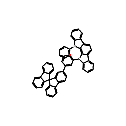 c1ccc(-n2c3ccccc3c3ccc4c5ccccc5n(-c5cccc(-c6ccc7c(c6)C6(c8ccccc8-c8ccccc86)c6ccccc6-7)c5)c4c32)cc1